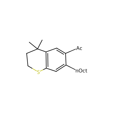 CCCCCCCCc1cc2c(cc1C(C)=O)C(C)(C)CCS2